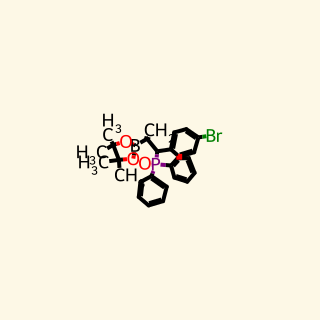 C=C(B1OC(C)(C)C(C)(C)O1)C(c1ccc(Br)cc1)P(=O)(c1ccccc1)c1ccccc1